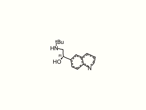 CC(C)(C)NC[C@H](O)c1ccc2ncccc2c1